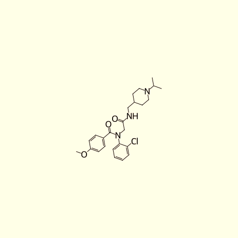 COc1ccc(C(=O)N(CC(=O)NCC2CCN(C(C)C)CC2)c2ccccc2Cl)cc1